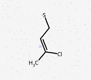 C/C(Cl)=C/C[S]